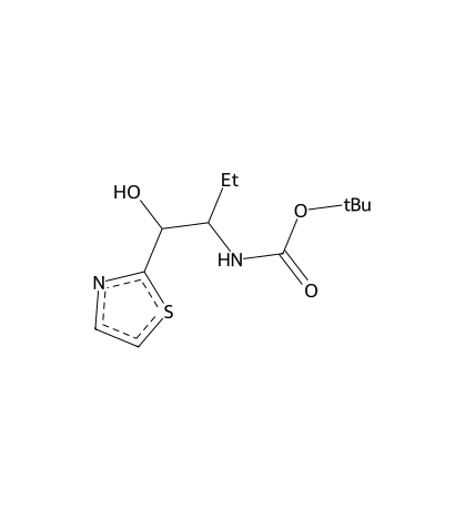 CCC(NC(=O)OC(C)(C)C)C(O)c1nccs1